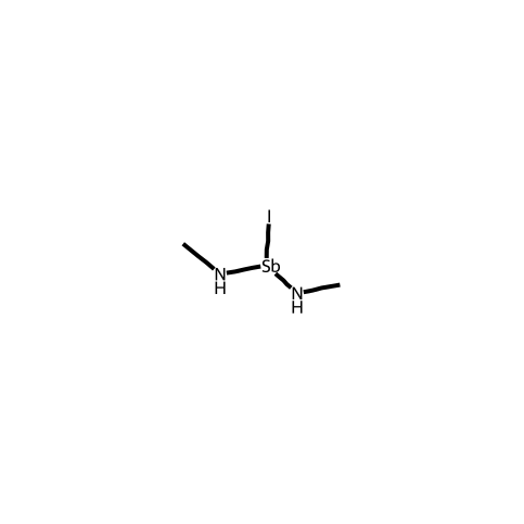 C[NH][Sb]([I])[NH]C